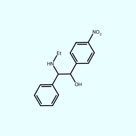 CCNC(c1ccccc1)C(O)c1ccc([N+](=O)[O-])cc1